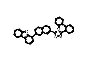 c1ccc2c(c1)oc1c(-c3ccc4ccc(-c5nnc6c7ccccc7c7ccccc7n56)cc4c3)cccc12